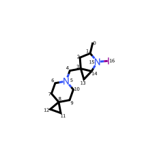 CC1CC2(CN3CCC4(CC3)CC4)CC2N1I